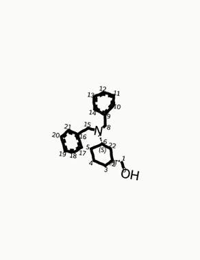 OC[C@@H]1CCC[C@H](N(Cc2ccccc2)Cc2ccccc2)C1